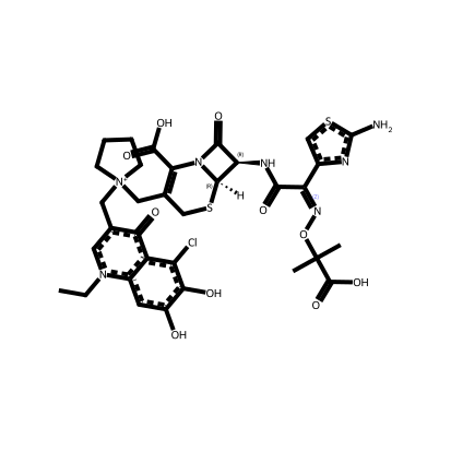 CCn1cc(C[N+]2(CC3=C(C(=O)O)N4C(=O)[C@@H](NC(=O)/C(=N\OC(C)(C)C(=O)O)c5csc(N)n5)[C@H]4SC3)CCCC2)c(=O)c2c(Cl)c(O)c(O)cc21